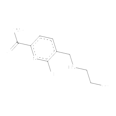 COC(=O)c1ccc(CNCCO)c(Cl)n1